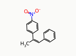 CC(=Cc1ccccc1)c1ccc([N+](=O)[O-])cc1